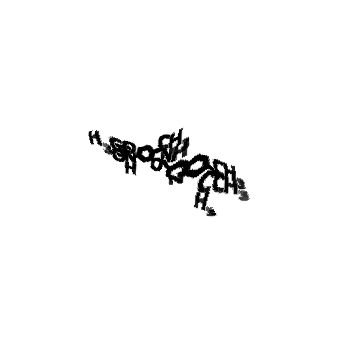 C[C@@H](NC(=O)c1cnc2cc(C(C)(C)C)ccc2c1)c1ccc(NS(C)(=O)=O)cc1